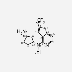 CCN(c1ncnc2sc(CC(F)(F)F)cc12)[C@@H]1CC[C@H](N)C1